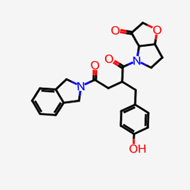 O=C1COC2CCN(C(=O)C(CC(=O)N3Cc4ccccc4C3)Cc3ccc(O)cc3)C12